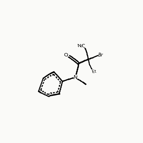 CCC(Br)(C#N)C(=O)N(C)c1ccccc1